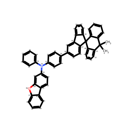 CC1(C)c2ccccc2C2(c3ccccc3-c3cc(-c4ccc(N(c5ccccc5)c5ccc6c(c5)oc5ccccc56)cc4)ccc32)c2ccccc21